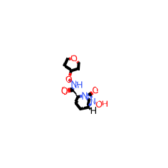 O=C(NOC1CCOCC1)[C@@H]1CC[C@@H]2CN1C(=O)N2O